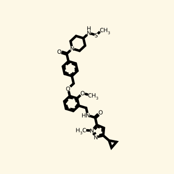 COc1c(CNC(=O)c2cc(C3CC3)nn2C)cccc1OCc1ccc(C(=O)N2CCC(NSC)CC2)cc1